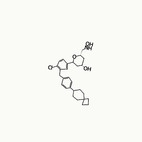 ONC[C@@H]1C[C@H](O)CC(c2ccc(Cl)c(Cc3ccc(C4CCC5(CCC5)CC4)cc3)c2)O1